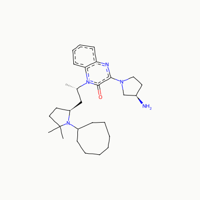 C[C@@H](C[C@@H]1CCC(C)(C)N1C1CCCCCCC1)n1c(=O)c(N2CC[C@@H](N)C2)nc2ccccc21